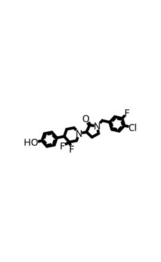 O=C1C(N2CCC(c3ccc(O)cc3)C(F)(F)C2)CCN1Cc1ccc(Cl)c(F)c1